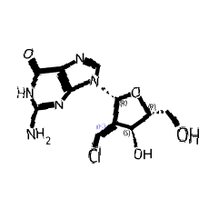 Nc1nc2c(ncn2[C@@H]2O[C@H](CO)[C@@H](O)/C2=C\Cl)c(=O)[nH]1